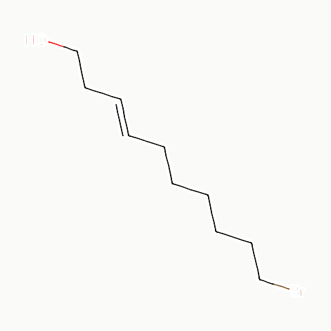 OCC/C=C/CCCCCCBr